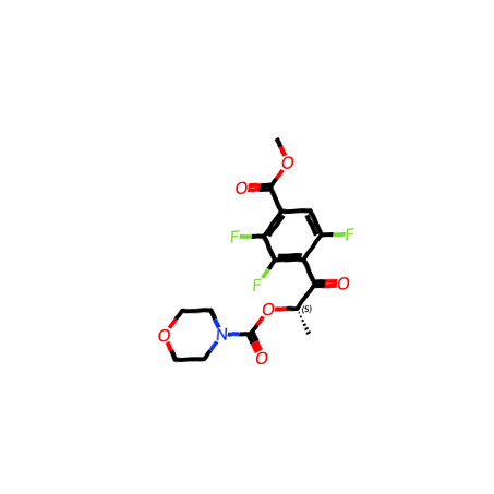 COC(=O)c1cc(F)c(C(=O)[C@H](C)OC(=O)N2CCOCC2)c(F)c1F